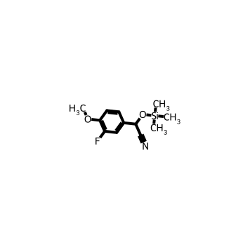 COc1ccc(C(C#N)O[Si](C)(C)C)cc1F